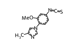 COc1cc(N=C=S)ccc1-n1cnc(C)c1